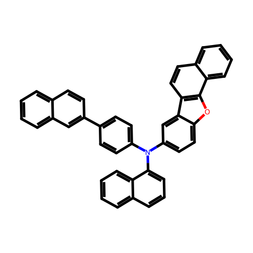 c1ccc2cc(-c3ccc(N(c4ccc5oc6c7ccccc7ccc6c5c4)c4cccc5ccccc45)cc3)ccc2c1